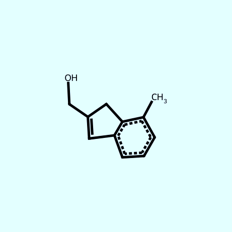 Cc1cccc2c1CC(CO)=C2